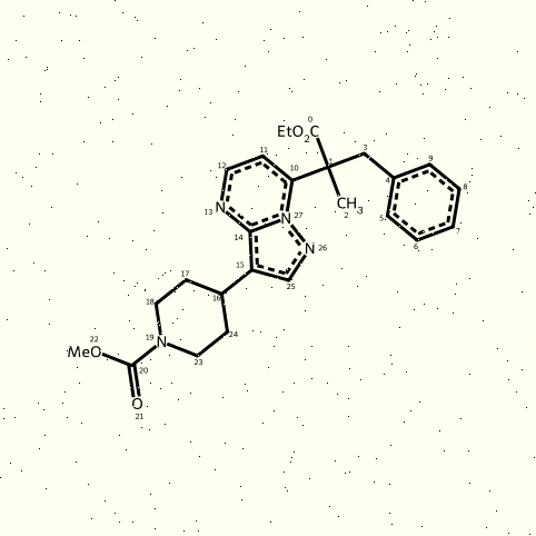 CCOC(=O)C(C)(Cc1ccccc1)c1ccnc2c(C3CCN(C(=O)OC)CC3)cnn12